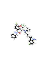 Cl.O=C(NCc1ccccc1)c1ccc(F)c2c1CC(N(CCCc1c[nH]c3ccc(F)cc13)C1CCC1)CO2